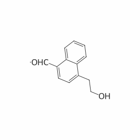 O=[C]c1ccc(CCO)c2ccccc12